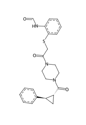 O=CNc1ccccc1SCC(=O)N1CCN(C(=O)[C@@H]2C[C@H]2c2ccccc2)CC1